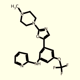 CN1CCN(c2ncc(-c3cc(Nc4ccccn4)cc(OC(F)(F)F)c3)o2)CC1